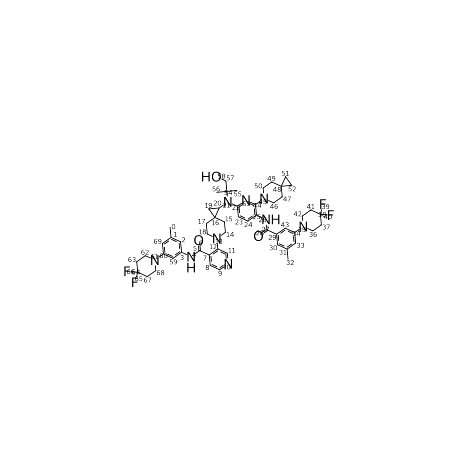 Cc1cc(NC(=O)c2ccncc2N2CCC3(CC2)CC3N(c2ccc(NC(=O)c3cc(C)cc(N4CCC(F)(F)CC4)c3)c(N3CCC4(CC3)CC4)n2)C(C)(C)CO)cc(N2CCC(F)(F)CC2)c1